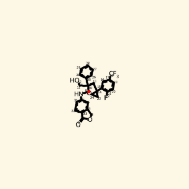 O=C1OCc2cc(NC(=O)C(CO)(CC3(c4cc(C(F)(F)F)ccc4F)CC3)c3ccccc3)ccc21